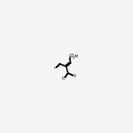 CCC(Cl)/C(=C/C(=O)O)CF